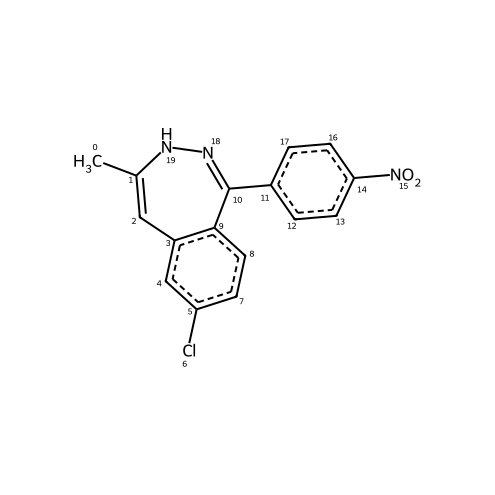 CC1=Cc2cc(Cl)ccc2C(c2ccc([N+](=O)[O-])cc2)=NN1